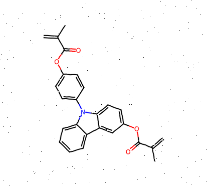 C=C(C)C(=O)Oc1ccc(-n2c3ccccc3c3cc(OC(=O)C(=C)C)ccc32)cc1